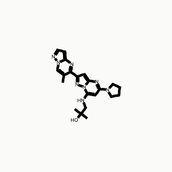 Cc1cn2nccc2nc1-c1cc2nc(N3CCCC3)cc(NCC(C)(C)O)n2n1